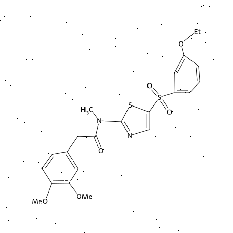 CCOc1cccc(S(=O)(=O)c2cnc(N(C)C(=O)Cc3ccc(OC)c(OC)c3)s2)c1